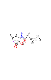 CCCC(NC(=O)C(C)C1CC1CC)C(=O)C(=O)I